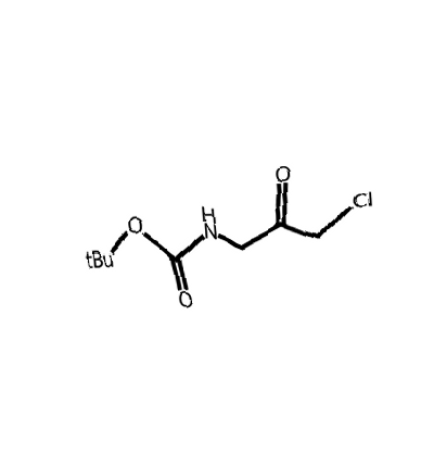 CC(C)(C)OC(=O)NCC(=O)CCl